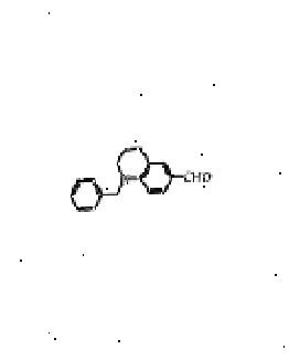 O=Cc1ccc2c(c1)CCCN2Cc1ccccc1